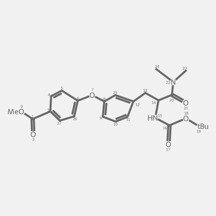 COC(=O)c1ccc(Oc2cccc(CC(NC(=O)OC(C)(C)C)C(=O)N(C)C)c2)cc1